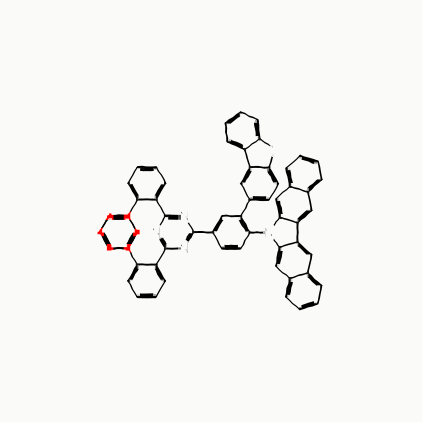 c1ccc(-c2ccccc2-c2nc(-c3ccc(-n4c5cc6ccccc6cc5c5cc6ccccc6cc54)c(-c4ccc5sc6ccccc6c5c4)c3)nc(-c3ccccc3-c3ccccc3)n2)cc1